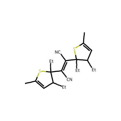 CCC1C=C(C)SC1(CC)/C(C#N)=C(\C#N)C1(CC)SC(C)=CC1CC